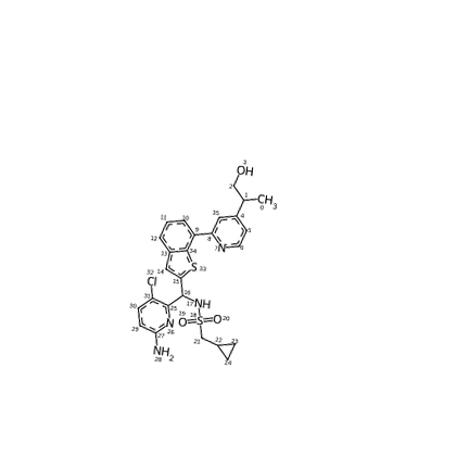 CC(CO)c1ccnc(-c2cccc3cc(C(NS(=O)(=O)CC4CC4)c4nc(N)ccc4Cl)sc23)c1